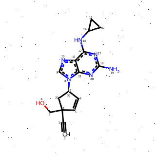 C#CC1(CO)C=C[C@H](n2cnc3c(NC4CC4)nc(N)nc32)C1